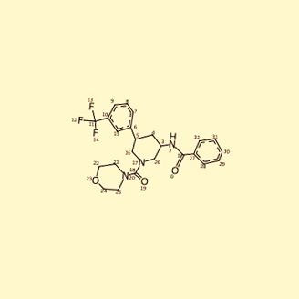 O=C(NC1CC(c2cccc(C(F)(F)F)c2)CN(C(=O)N2CCOCC2)C1)c1ccccc1